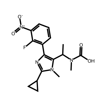 CC(c1c(-c2cccc([N+](=O)[O-])c2F)nc(C2CC2)n1C)N(C)C(=O)O